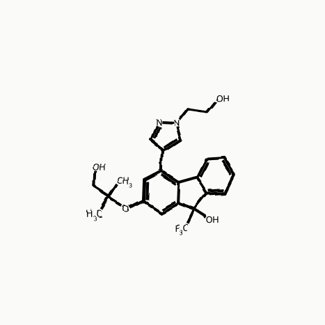 CC(C)(CO)Oc1cc(-c2cnn(CCO)c2)c2c(c1)C(O)(C(F)(F)F)c1ccccc1-2